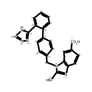 CCCCc1nc2ccc(C(=O)O)cc2n1Cc1ccc(-c2ccccc2-c2nnn[nH]2)cc1